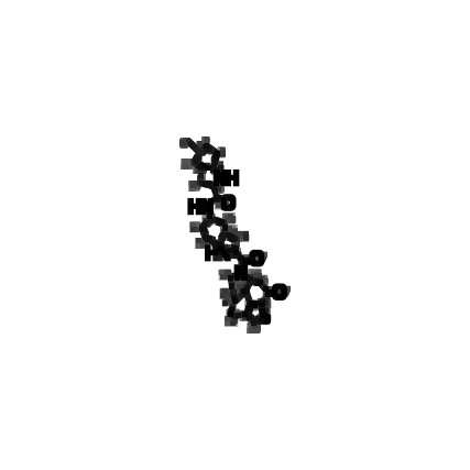 Cc1ccc2[nH]c(C(=O)Nc3ccc4[nH]c(C(=O)N5CC6[C@H](C)C67C5=CC(=O)c5scc(C)c57)cc4c3)cc2c1